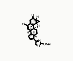 COC1N=C(C2=CC[C@H]3[C@@H]4C=C(Cl)C5=CC(=O)[C@@H]6C[C@@H]6[C@]5(C)[C@H]4CC[C@]23C)CO1